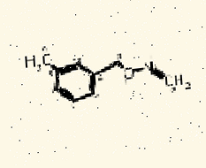 C=NOCc1cccc(C)c1